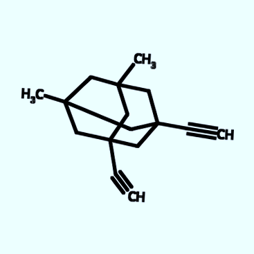 C#CC12CC3(C)CC(C)(C1)CC(C#C)(C3)C2